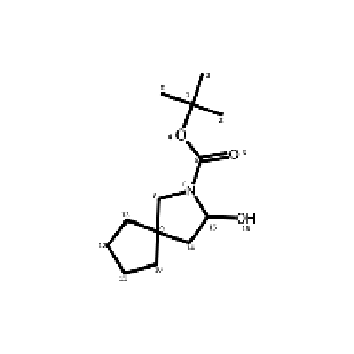 CC(C)(C)OC(=O)N1CC2(CCCC2)CC1O